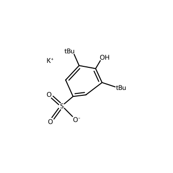 CC(C)(C)c1cc(S(=O)(=O)[O-])cc(C(C)(C)C)c1O.[K+]